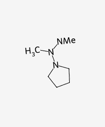 CNN(C)N1CCCC1